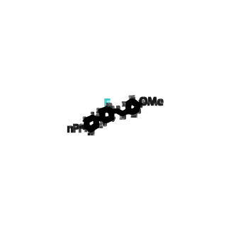 CCCc1ccc(-c2ccc(CCc3ccc(OC)cc3)c(F)c2)cc1